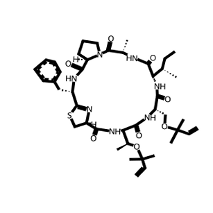 C=CC(C)(C)OC[C@@H]1NC(=O)[C@@H]([C@H](C)OC(C)(C)C=C)NC(=O)[C@@H]2CSC(=N2)[C@H](Cc2ccccc2)NC(=O)[C@H]2CCCN2C(=O)[C@H](C)NC(=O)[C@H]([C@@H](C)CC)NC1=O